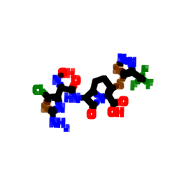 Nc1nc(/C(=N/O)C(=O)NC2C(=O)N3C(C(=O)O)=C(Sc4snnc4C(F)(F)F)CCC23)c(Cl)s1